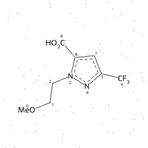 COCCn1nc(C(F)(F)F)cc1C(=O)O